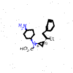 CCC(=Cc1ccccc1)[C@@H]1C[C@H]1N(C(=O)O)C1CCC(N)CC1